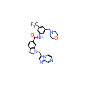 O=C(Nc1cc(CN2CCOCC2)cc(C(F)(F)F)c1)c1ccc2c(c1)N(Cc1cnc3cnccn13)CC2